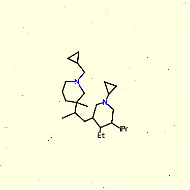 CCC1C(CC(C)C2(C)CCCN(CC3CC3)C2)CN(C2CC2)CC1C(C)C